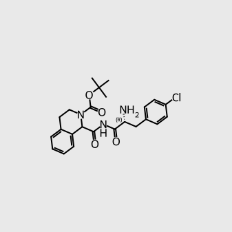 CC(C)(C)OC(=O)N1CCc2ccccc2C1C(=O)NC(=O)[C@H](N)Cc1ccc(Cl)cc1